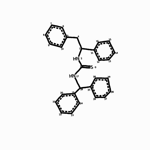 S=C(NC(Cc1ccccc1)c1ccccc1)NC(c1ccccc1)c1ccccc1